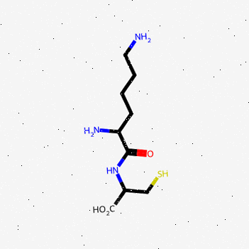 NCCCCC(N)C(=O)NC(CS)C(=O)O